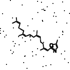 CC(C)=CCCC(C)=CCCC(C)=CCCC(C)=Cc1ncc(C)o1